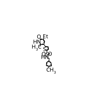 CCc1cc(-c2ccc(S(=O)(=O)NCc3ccc(C)cc3)s2)c(C)[nH]c1=O